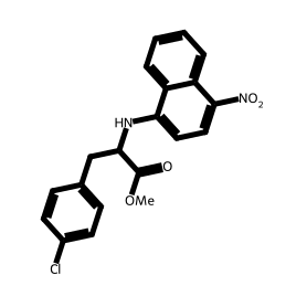 COC(=O)C(Cc1ccc(Cl)cc1)Nc1ccc([N+](=O)[O-])c2ccccc12